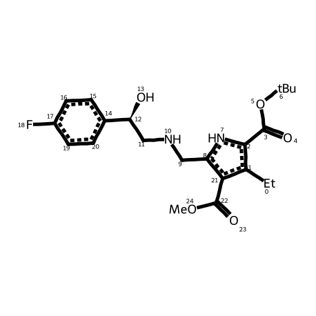 CCc1c(C(=O)OC(C)(C)C)[nH]c(CNC[C@H](O)c2ccc(F)cc2)c1C(=O)OC